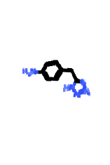 Nc1ccc(Cc2nnn[nH]2)cc1